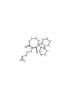 C=CCCCN1C(=O)CCCCC(C2CCCCC2)(C2CCCCC2)C1=O